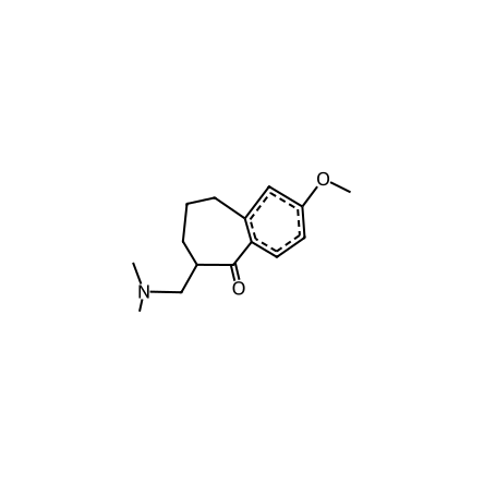 COc1ccc2c(c1)CCCC(CN(C)C)C2=O